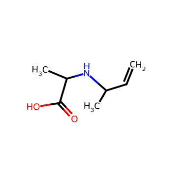 C=CC(C)NC(C)C(=O)O